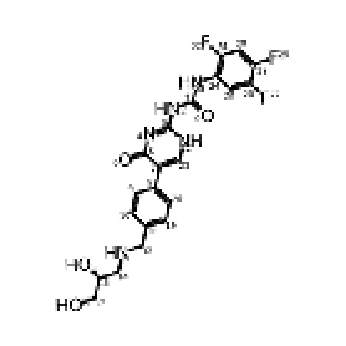 O=C(Nc1nc(=O)c(-c2ccc(CNCC(O)CO)cc2)c[nH]1)Nc1cc(F)c(F)cc1F